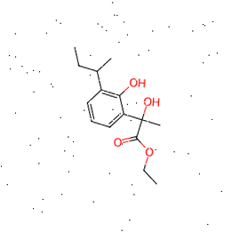 CCOC(=O)C(C)(O)c1cccc(C(C)CC)c1O